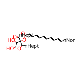 CCCCCCCCCC=CC=CC=CC=CC=CC(=O)OC(C(=O)CCCCCCC)(C(=O)CCCCCCC)C(O)CO